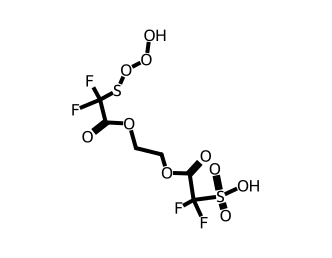 O=C(OCCOC(=O)C(F)(F)S(=O)(=O)O)C(F)(F)SOOO